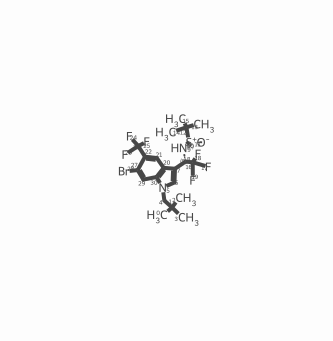 CC(C)(C)Cn1cc([C@H](N[S@@+]([O-])C(C)(C)C)C(F)(F)F)c2cc(C(F)(F)F)c(Br)cc21